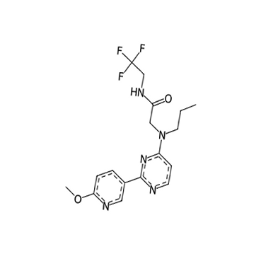 CCCN(CC(=O)NCC(F)(F)F)c1ccnc(-c2ccc(OC)nc2)n1